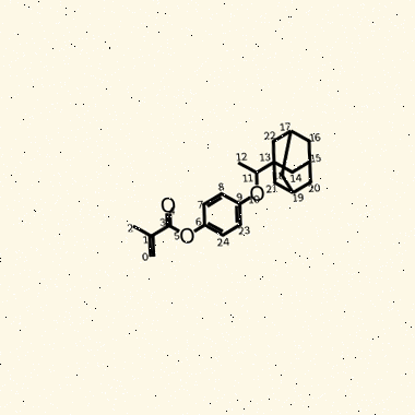 C=C(C)C(=O)Oc1ccc(OC(C)C23CC4CC(CC(C4)C2)C3)cc1